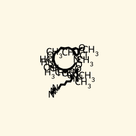 COc1cc2cc(c1Cl)N(C)C(=O)C[C@H](OC(=O)[C@H](C)N(C)C(=O)CCCCCN=[N+]=[N-])[C@@]1(C)O[C@H]1[C@H](C)[C@@H]1C[C@@](O)(NC(=O)O1)C(OC)/C=C/C=C(\C)C2